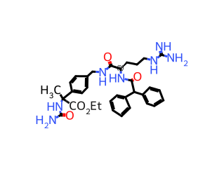 CCOC(=O)C(C)(NC(N)=O)c1ccc(CNC(=O)[C@@H](CCCNC(=N)N)NC(=O)C(c2ccccc2)c2ccccc2)cc1